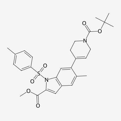 COC(=O)c1cc2cc(C)c(C3=CCN(C(=O)OC(C)(C)C)CC3)cc2n1S(=O)(=O)c1ccc(C)cc1